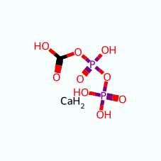 O=C(O)OP(=O)(O)OP(=O)(O)O.[CaH2]